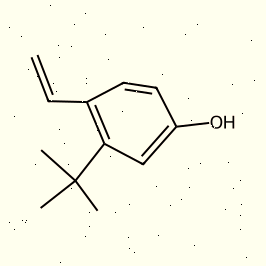 C=Cc1ccc(O)cc1C(C)(C)C